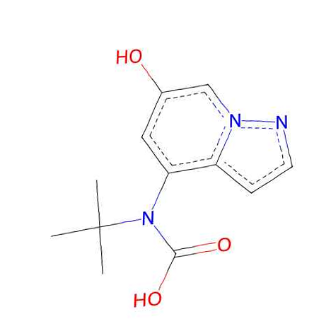 CC(C)(C)N(C(=O)O)c1cc(O)cn2nccc12